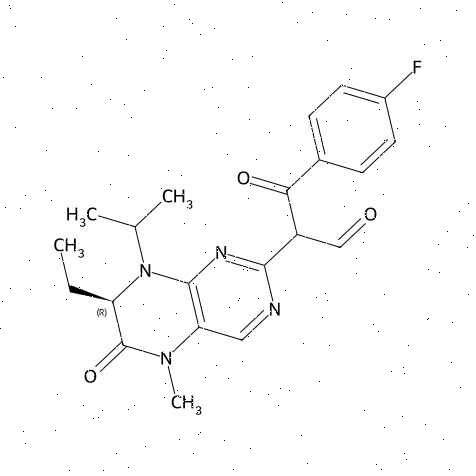 CC[C@@H]1C(=O)N(C)c2cnc(C(C=O)C(=O)c3ccc(F)cc3)nc2N1C(C)C